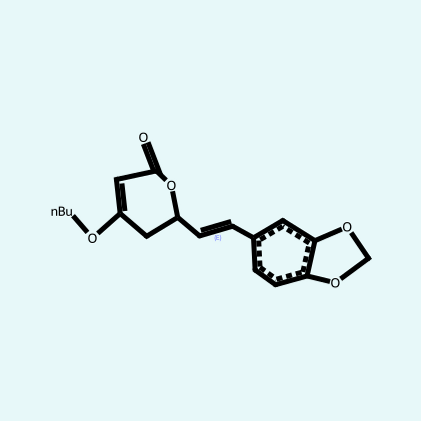 CCCCOC1=CC(=O)OC(/C=C/c2ccc3c(c2)OCO3)C1